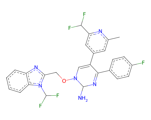 Cc1cc(C2=CN(OCc3nc4ccccc4n3C(F)F)C(N)N=C2c2ccc(F)cc2)cc(C(F)F)n1